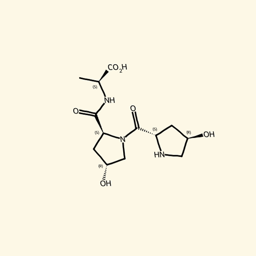 C[C@H](NC(=O)[C@@H]1C[C@@H](O)CN1C(=O)[C@@H]1C[C@@H](O)CN1)C(=O)O